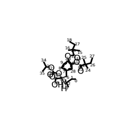 CCC(C)N[C@@](Cc1ccc(OC(=O)C(C)(C)CC)c(OC(=O)C(C)(C)CC)c1)(OC(=O)OC(C)C)C(=O)O